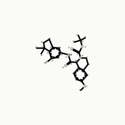 COc1ccc2c(c1)CCN(C(=O)OC(C)(C)C)C2C(=O)Nc1cc(F)c2c(c1)CCC2(C)C